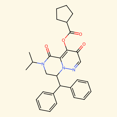 CC(C)N1CC(C(c2ccccc2)c2ccccc2)n2ncc(=O)c(OC(=O)C3CCCC3)c2C1=O